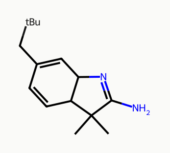 CC(C)(C)CC1=CC2N=C(N)C(C)(C)C2C=C1